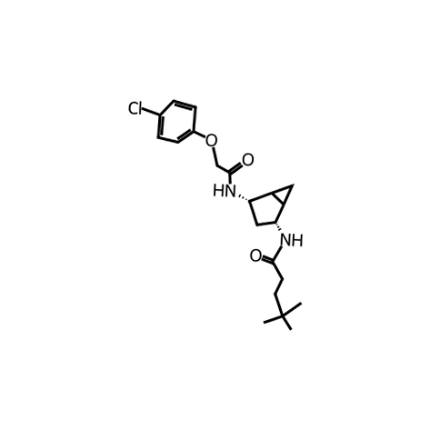 CC(C)(C)CCC(=O)N[C@@H]1C[C@H](NC(=O)COc2ccc(Cl)cc2)C2CC21